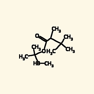 CBC(C)(C)OC(=O)C(C)C(C)(C)C